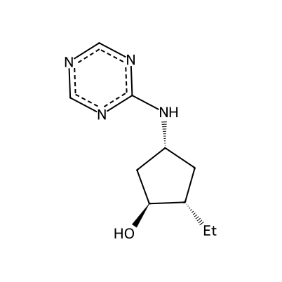 CC[C@H]1C[C@@H](Nc2ncncn2)C[C@@H]1O